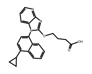 O=C(O)CCCOc1nc2ncccc2n1-c1ccc(C2CC2)c2ccccc12